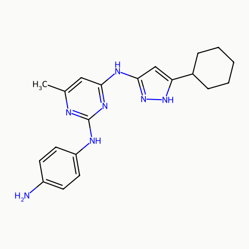 Cc1cc(Nc2cc(C3CCCCC3)[nH]n2)nc(Nc2ccc(N)cc2)n1